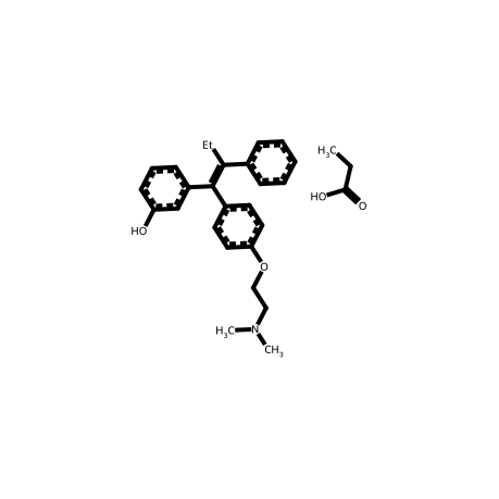 CCC(=C(c1ccc(OCCN(C)C)cc1)c1cccc(O)c1)c1ccccc1.CCC(=O)O